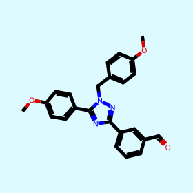 COc1ccc(Cn2nc(-c3cccc(C=O)c3)nc2-c2ccc(OC)cc2)cc1